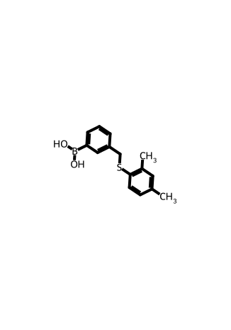 Cc1ccc(SCc2cccc(B(O)O)c2)c(C)c1